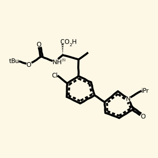 CC(c1cc(-c2ccc(=O)n(C(C)C)c2)ccc1Cl)[C@H](NC(=O)OC(C)(C)C)C(=O)O